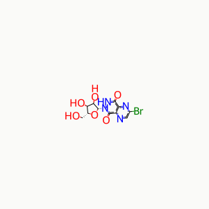 O=c1[nH]n([C@@H]2O[C@H](CO)[C@@H](O)[C@H]2O)c(=O)c2ncc(Br)nc12